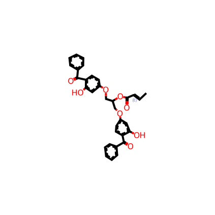 C/C=C/C(=O)OC(COc1ccc(C(=O)c2ccccc2)c(O)c1)COc1ccc(C(=O)c2ccccc2)c(O)c1